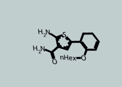 CCCCCCOC1=C(c2cc(C(N)=O)c(N)s2)CCC=C1